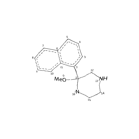 COC1(c2cccc3ccccc23)CNCC[N]1